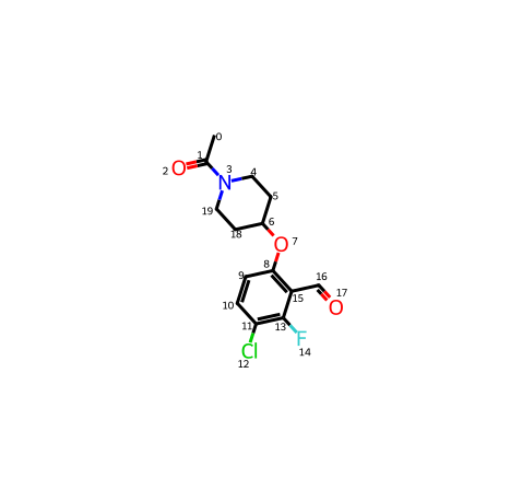 CC(=O)N1CCC(Oc2ccc(Cl)c(F)c2C=O)CC1